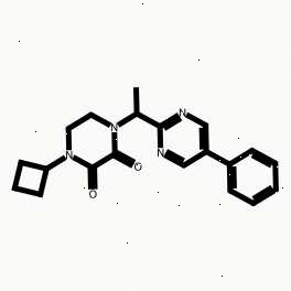 CC(c1ncc(-c2ccccc2)cn1)N1CCN(C2CCC2)C(=O)C1=O